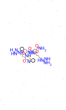 N=C(N)NCCCCC(=O)NC(CCC(N)=O)C(=O)NC(Cc1ccccc1)C(=O)NC(CCCNC(=N)N)C(=O)c1nc2ccccc2s1